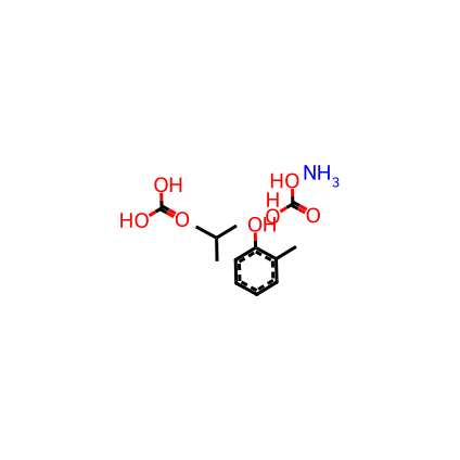 CC(C)C.Cc1ccccc1O.N.O=C(O)O.O=C(O)O